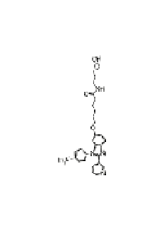 COCCCNC(=O)CCCCCOc1ccc2nc(-c3cccnc3)n(-c3ccc(C)cc3)c2c1